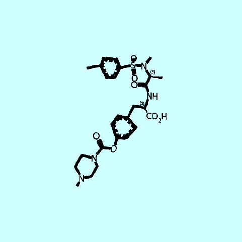 Cc1ccc(S(=O)(=O)N(C)[C@@H](C)C(=O)N[C@@H](Cc2ccc(OC(=O)N3CCN(C)CC3)cc2)C(=O)O)cc1